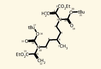 C=C(C(=O)OCC)N(CCC(C)CCN(C(=C)C(=O)OCC)C(=O)OC(C)(C)C)C(=O)OC(C)(C)C